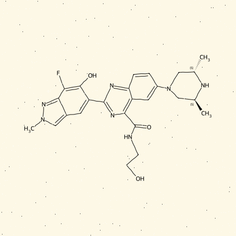 C[C@H]1CN(c2ccc3nc(-c4cc5cn(C)nc5c(F)c4O)nc(C(=O)NCCO)c3c2)C[C@H](C)N1